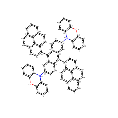 c1ccc2c(c1)Oc1ccccc1N2c1ccc2c(-c3ccc4ccc5cccc6ccc3c4c56)c3cc(N4c5ccccc5Oc5ccccc54)ccc3c(-c3ccc4ccc5cccc6ccc3c4c56)c2c1